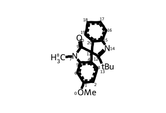 COc1ccc2c(c1)N(C)C(=O)C21C(C(C)(C)C)=Nc2ccccc21